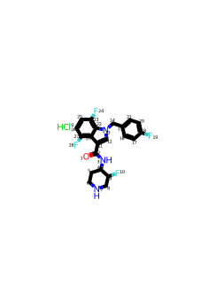 Cl.O=C(NC1CCNCC1F)c1cn(Cc2ccc(F)cc2)c2c(F)ccc(F)c12